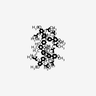 CCC(CC)COc1cc(OC)cc(OCC(CC)CC)c1-c1ccc(N(c2ccc([C@@H]3C(O)C(C)C(C)[C@H](c4ccc(N(c5ccc(-c6c(OCC(CC)CC)cc(OC)cc6OCC(CC)CC)cc5C)c5ccc(-c6c(OCC(CC)CC)cc(OC)cc6OCC(CC)CC)cc5C)cc4O)C3O)c(O)c2)c2ccc(-c3c(OCC(CC)CC)cc(OC)cc3OCC(CC)CC)cc2C)c(C)c1